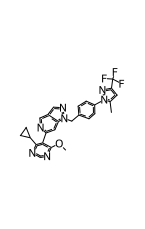 COc1ncnc(C2CC2)c1-c1cc2c(cn1)cnn2Cc1ccc(-n2nc(C(F)(F)F)cc2C)cc1